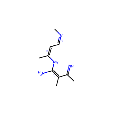 C/N=C\C=C(\C)N/C(N)=C(/C)C(C)=N